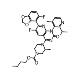 CCCCOC(=O)N1CCN(c2nc(=O)n(-c3c(C)ccnc3C(C)C)c3nc(-c4c(F)ccc5c4OCO5)c(F)cc23)[C@@H](C)C1